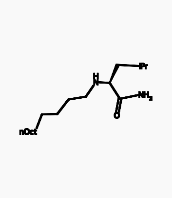 CCCCCCCCCCCCN[C@@H](CC(C)C)C(N)=O